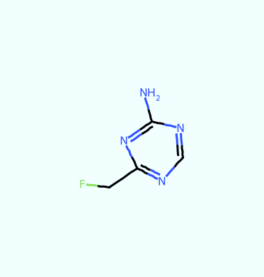 Nc1ncnc(CF)n1